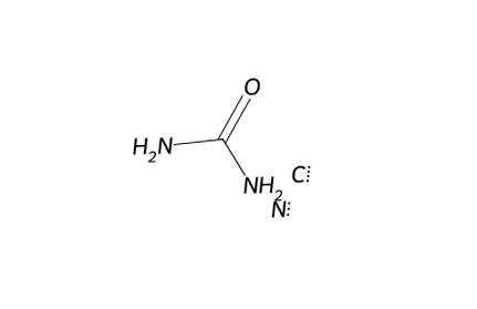 NC(N)=O.[C].[N]